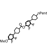 CCCCCC1CCC(c2ccc(OC(=O)C3CCC(c4ccc(OC)c(F)c4F)CC3)c(F)c2F)CC1